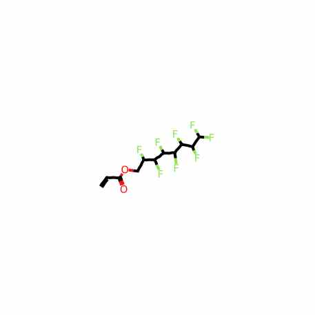 C=CC(=O)OCC(F)C(F)C(F)C(F)C(F)C(F)C(F)F